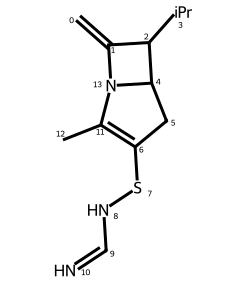 C=C1C(C(C)C)C2CC(SNC=N)=C(C)N12